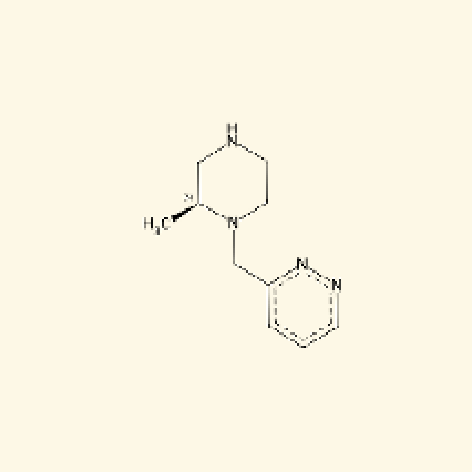 C[C@H]1CNCCN1Cc1cccnn1